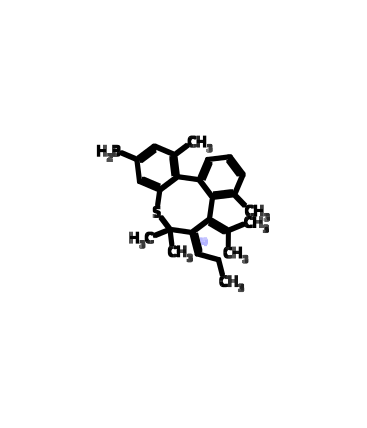 Bc1cc(C)c2c(c1)SC(C)(C)/C(=C/CC)C(=C(C)C)c1c(C)cccc1-2